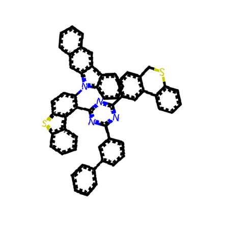 c1ccc(-c2cccc(-c3nc(-c4ccc5c(c4)-c4ccccc4SC5)nc(-c4c(-n5c6ccccc6c6cc7ccccc7cc65)ccc5sc6ccccc6c45)n3)c2)cc1